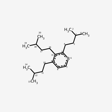 CC(C)CCc1bccc(CCC(C)C)c1CCC(C)C